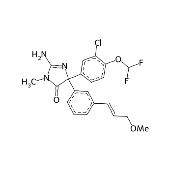 COCC=Cc1cccc(C2(c3ccc(OC(F)F)c(Cl)c3)N=C(N)N(C)C2=O)c1